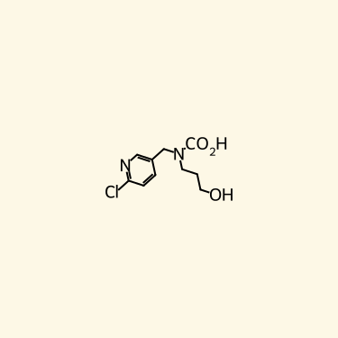 O=C(O)N(CCCO)Cc1ccc(Cl)nc1